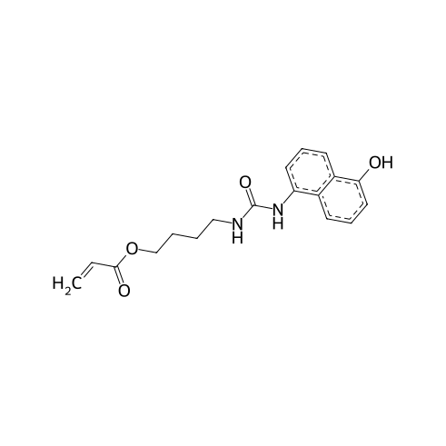 C=CC(=O)OCCCCNC(=O)Nc1cccc2c(O)cccc12